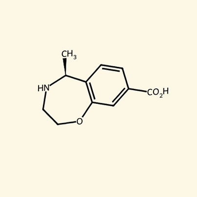 C[C@@H]1NCCOc2cc(C(=O)O)ccc21